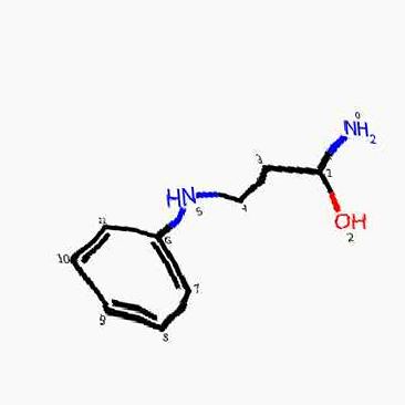 NC(O)CCNc1ccccc1